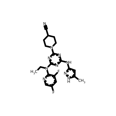 CCN(c1nc(Nc2cc(C)[nH]n2)nc(N2CCC(C#N)CC2)n1)c1ncc(F)cc1F